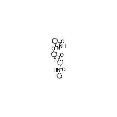 O=C(Nc1ccccc1)C1CCN(C(=O)c2cc(Oc3n[nH]c(=O)c4ccccc34)ccc2F)CC1